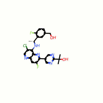 C[C@@H](Nc1c(Cl)cnc2cc(F)c(-c3cnc(C(C)(C)O)nc3)nc12)c1cc(CO)ccc1F